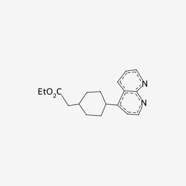 CCOC(=O)CC1CCC(c2ccnc3ncccc23)CC1